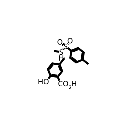 Cc1ccc(S(=O)(=O)[SH](C)Cc2ccc(O)c(C(=O)O)c2)cc1